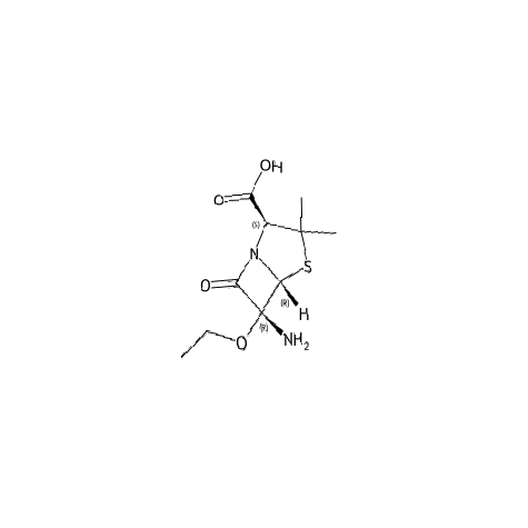 CCO[C@]1(N)C(=O)N2[C@@H](C(=O)O)C(C)(C)S[C@@H]21